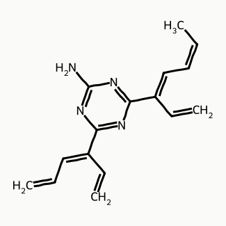 C=C/C=C(\C=C)c1nc(N)nc(/C(C=C)=C/C=C\C)n1